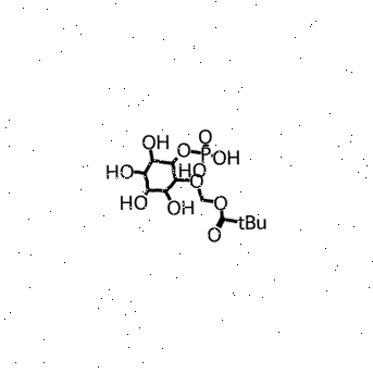 CC(C)(C)C(=O)OCOC1C(O)C(O)C(O)C(O)C1OP(=O)(O)O